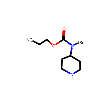 CC(C)(C)N(C(=O)OCCC#N)C1CCNCC1